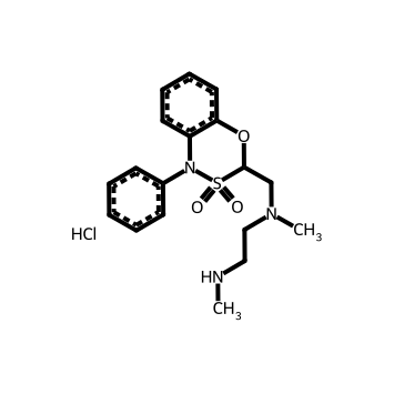 CNCCN(C)CC1Oc2ccccc2N(c2ccccc2)S1(=O)=O.Cl